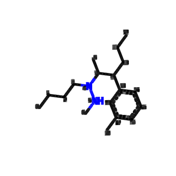 CCCCN(NC)C(C)C(CCC)c1cccc(C)c1